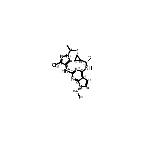 CC(C)n1cc(Nc2nc(N[C@@H](C)C3CC3)c3ccn(SI)c3n2)c(Cl)n1